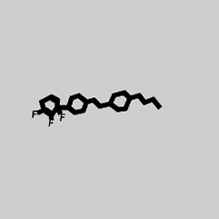 CCCCC1CCC(CCC2CCC(C3(F)C=CCC(F)=C3F)CC2)CC1